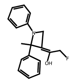 CC1(c2ccccc2)C(=C(O)CF)CN1c1ccccc1